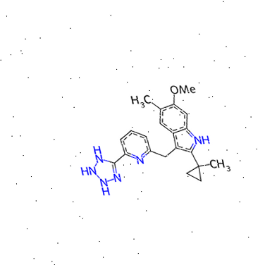 COc1cc2[nH]c(C3(C)CC3)c(Cc3cccc(C4=NNNN4)n3)c2cc1C